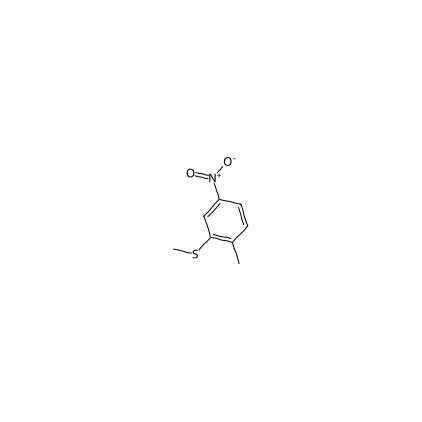 CSc1cc([N+](=O)[O-])ccc1C